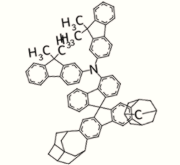 CC1(C)c2ccccc2-c2ccc(N(c3ccc4c(c3)C(C)(C)c3ccccc3-4)c3cccc4c3-c3ccccc3C43c4cc5c(cc4-c4cc6c(cc43)C3CC4CC7CC6CC74C3)C3CC4CC(C3)CC5C4)cc21